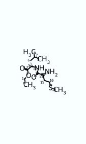 CCOC(=O)[C@H](CC(C)C)NC(=O)[C@H](N)CCSC